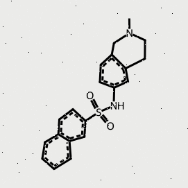 CN1CCc2cc(NS(=O)(=O)c3ccc4ccccc4c3)ccc2C1